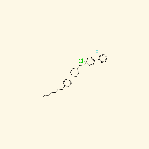 CCCCCCCc1ccc([C@H]2CC[C@H](CCC3(Cl)C=CC(c4ccccc4F)=CC3)CC2)cc1